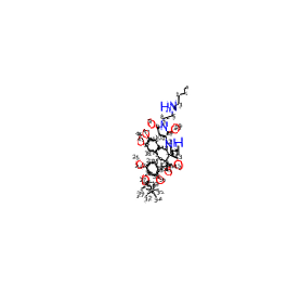 CCCCNCCN1C(=O)C=C(N[C@@H]2c3cc4c(cc3[C@@H](c3cc(OC)c(O[Si](C)(C)C(C)(C)C)c(OC)c3)[C@H]3C(=O)OC[C@@H]32)OCO4)C1=O